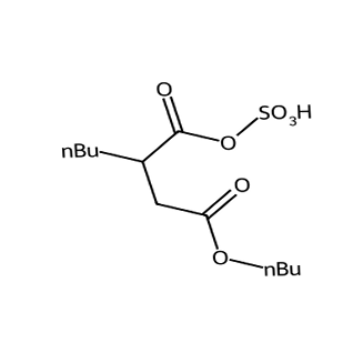 CCCCOC(=O)CC(CCCC)C(=O)OS(=O)(=O)O